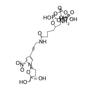 NCC(CCCC(=O)NCC#Cc1cc([N+](=O)[O-])n([C@H]2C[C@H](O)[C@@H](CO)O2)c1)OP(=O)(O)OP(=O)(O)OP(=O)(O)O